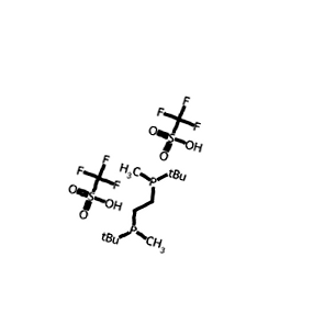 CP(CCP(C)C(C)(C)C)C(C)(C)C.O=S(=O)(O)C(F)(F)F.O=S(=O)(O)C(F)(F)F